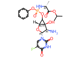 CC(C)OC(=O)[C@@H](C)NP(=O)(Oc1ccccc1)OC1[C@H]2O[C@@H](n3cc(F)c(=O)[nH]c3=O)[C@H](N)[C@@]12O